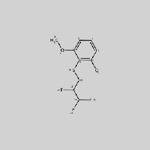 COc1cccc(Cl)c1SCC(F)C(F)F